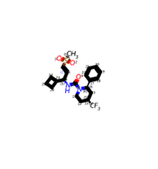 CS(=O)(=O)/C=C/[C@@H](NC(=O)N1CC[C@H](C(F)(F)F)C[C@@H]1c1ccccc1)C1CCC1